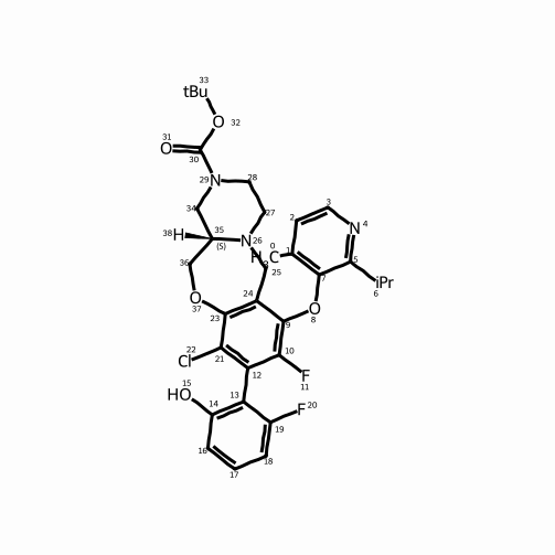 Cc1ccnc(C(C)C)c1Oc1c(F)c(-c2c(O)cccc2F)c(Cl)c2c1CN1CCN(C(=O)OC(C)(C)C)C[C@H]1CO2